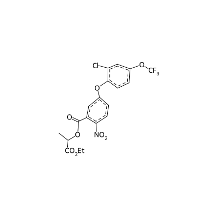 CCOC(=O)C(C)OC(=O)c1cc(Oc2ccc(OC(F)(F)F)cc2Cl)ccc1[N+](=O)[O-]